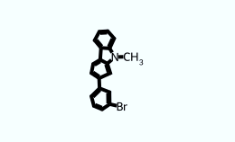 Cn1c2ccccc2c2ccc(-c3cccc(Br)c3)cc21